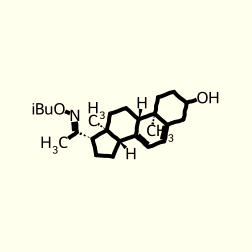 CC(=NOCC(C)C)[C@H]1CC[C@H]2C3=CC=C4CC(O)CC[C@]4(C)[C@H]3CC[C@]12C